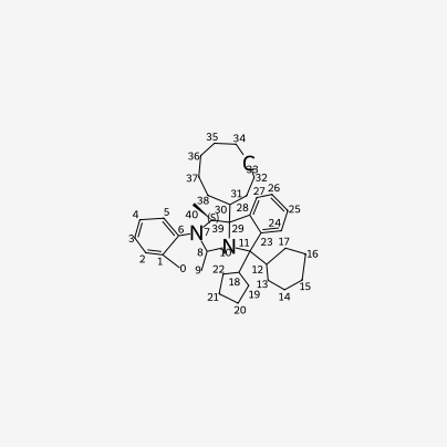 Cc1ccccc1N1C(C)N2C(C3CCCCC3)(C3CCCC3)c3ccccc3C2(C2CCCCCCCC2)[C@@H]1C